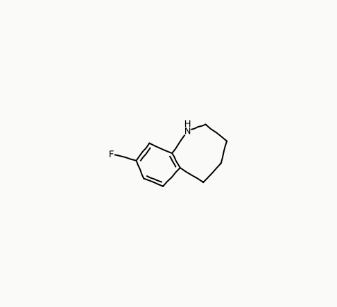 Fc1ccc2c(c1)NCCCC2